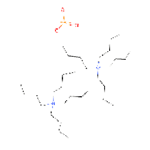 CCCC[N+](CCCC)(CCCC)CCCC.CCCC[N+](CCCC)(CCCC)CCCC.O=[PH]([O-])[O-]